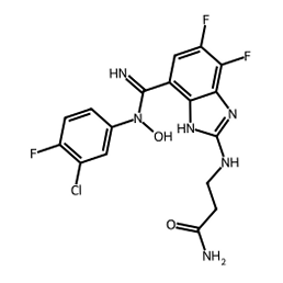 N=C(c1cc(F)c(F)c2nc(NCCC(N)=O)[nH]c12)N(O)c1ccc(F)c(Cl)c1